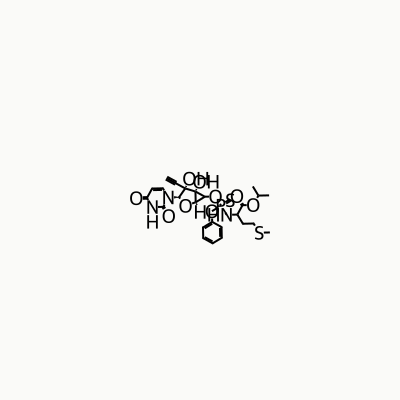 C#C[C@]1(O)[C@H](n2ccc(=O)[nH]c2=O)O[C@@H]2C(OP(=S)(NC(CCSC)C(=O)OC(C)C)Oc3ccccc3)[C@@]21O